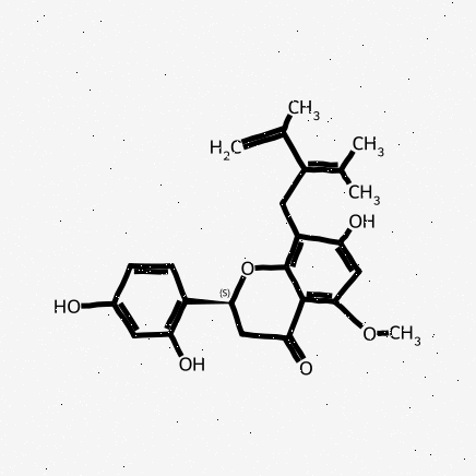 C=C(C)C(Cc1c(O)cc(OC)c2c1O[C@H](c1ccc(O)cc1O)CC2=O)=C(C)C